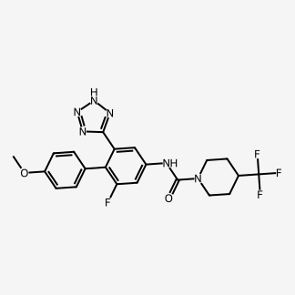 COc1ccc(-c2c(F)cc(NC(=O)N3CCC(C(F)(F)F)CC3)cc2-c2nn[nH]n2)cc1